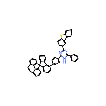 c1ccc(C2=NC(c3ccc4sc5ccccc5c4c3)=NC(c3ccc(-c4cccc5c4-c4ccccc4C54c5cccc6ccc7cccc4c7c56)cc3)N2)cc1